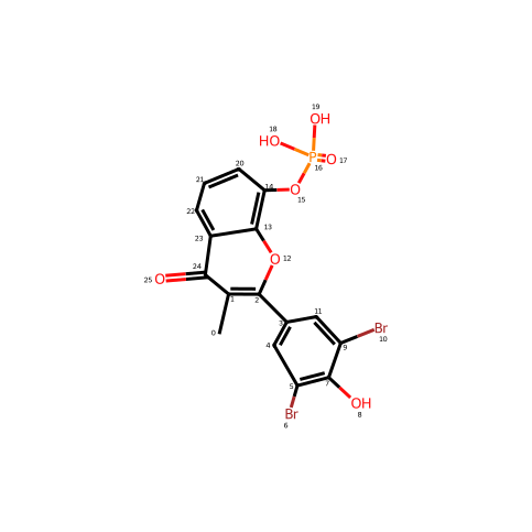 Cc1c(-c2cc(Br)c(O)c(Br)c2)oc2c(OP(=O)(O)O)cccc2c1=O